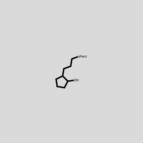 CCCCCCCCC1CCCC1O